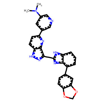 CN(C)c1cncc(-c2ccc3[nH]nc(-c4nc5c(-c6ccc7c(c6)OCO7)cccc5[nH]4)c3n2)c1